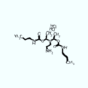 CCCNC(=O)OC(C)N(CCN)C(C)OC(=O)NCCC.Cl.Cl